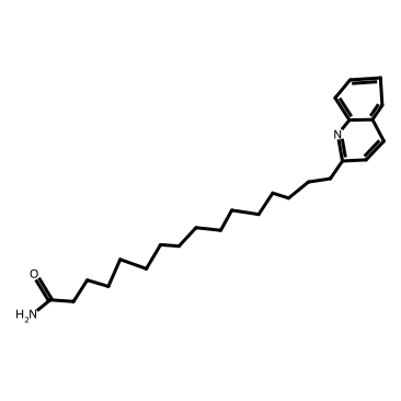 NC(=O)CCCCCCCCCCCCCCCc1ccc2ccccc2n1